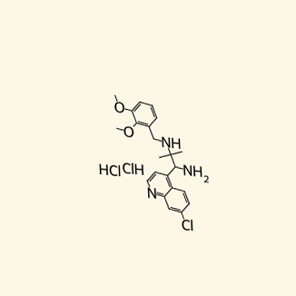 COc1cccc(CNC(C)(C)C(N)c2ccnc3cc(Cl)ccc23)c1OC.Cl.Cl